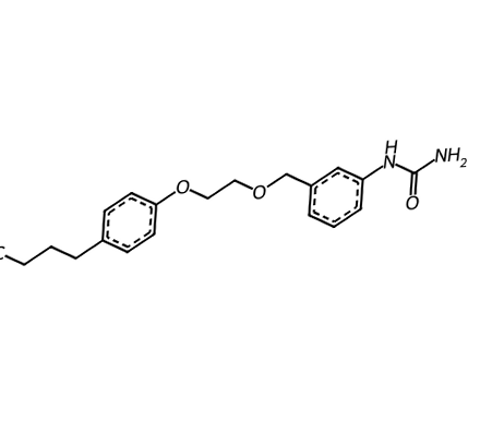 CCCCc1ccc(OCCOCc2cccc(NC(N)=O)c2)cc1